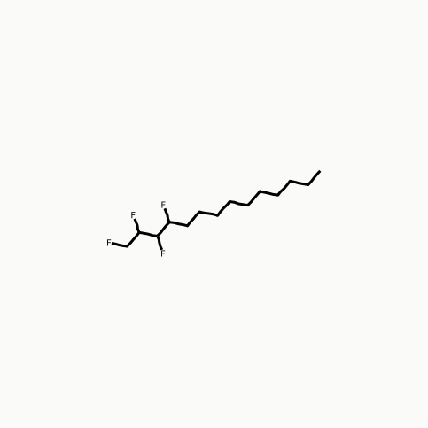 CCCCCCCCCCC(F)C(F)C(F)CF